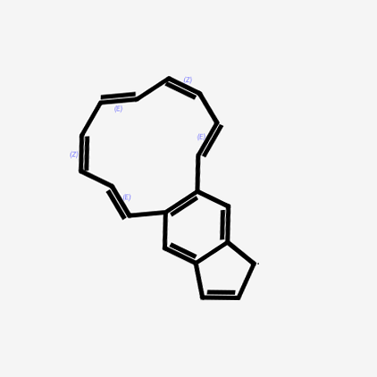 [CH]1C=Cc2cc3c(cc21)/C=C/C=C\C=C\C=C/C=C/3